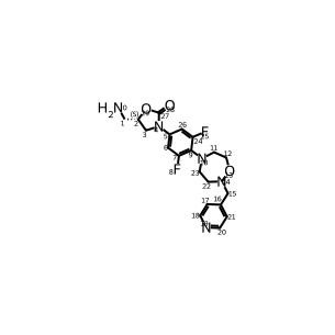 NC[C@H]1CN(c2cc(F)c(N3CCON(Cc4ccncc4)CC3)c(F)c2)C(=O)O1